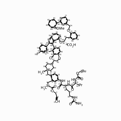 C#CCOC(=O)N(C)Cc1cc(NC(=O)[C@H](CCCNC(N)=O)NC(=O)[C@@H](NC(=O)OC(C)(C)C)C(C)C)ccc1C[N+]1(C)CCN(CCOc2ccc(-c3c(-c4ccc(F)cc4)sc4ncnc(O[C@H](Cc5ccccc5OCc5ccnc(-c6ccccc6OC)n5)C(=O)O)c34)c(C)c2Cl)CC1